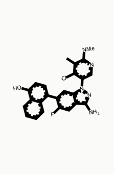 CNc1ncc(-n2nc(N)c3cc(F)c(-c4ccc(O)c5ccccc45)cc32)c(Cl)c1C